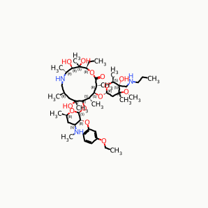 CCCNC[C@]1(O)[C@H](C)O[C@@H](O[C@H]2[C@H](C)[C@@H](O[C@@H]3O[C@H](C)C[C@H](NC)[C@H]3Oc3cccc(OCC)c3)[C@](C)(O)C[C@@H](C)CN[C@H](C)[C@@H](O)[C@](C)(O)[C@@H](CC)OC(=O)[C@@H]2C)C[C@@]1(C)OC